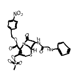 CS(=O)(=O)OC1=C(C(=O)OCc2ccc([N+](=O)[O-])cc2)N2C(=O)C(NC(=O)CNc3ccccc3)[C@@H]2SC1